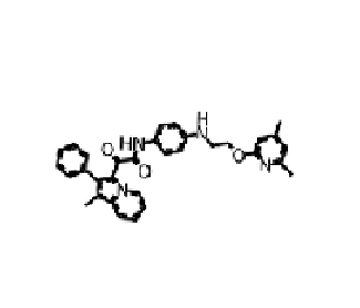 Cc1cc(C)nc(OCCNc2ccc(NC(=O)C(=O)c3c(-c4ccccc4)c(C)c4ccccn34)cc2)c1